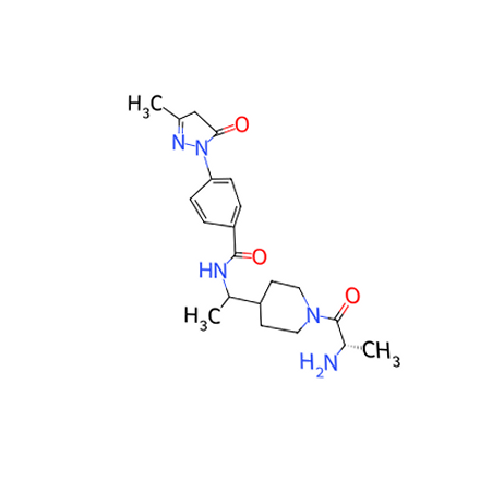 CC1=NN(c2ccc(C(=O)NC(C)C3CCN(C(=O)[C@H](C)N)CC3)cc2)C(=O)C1